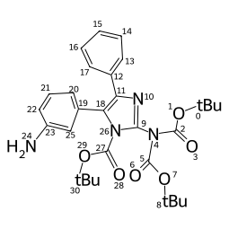 CC(C)(C)OC(=O)N(C(=O)OC(C)(C)C)c1nc(-c2ccccc2)c(-c2cccc(N)c2)n1C(=O)OC(C)(C)C